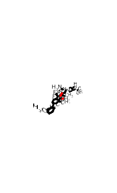 Cc1cccc(C2=CC=C([C@@H](Oc3cc(N4CCC5(CC4)CN[C@H](C(=O)O)C5)nc(N)n3)C(F)(F)F)C(n3ccc(C)n3)(C(C)(C)C)C2)c1